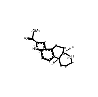 COC(=O)c1cc2c3c(ccc2[nH]1)[C@H]1CCCN[C@@H]1CC3